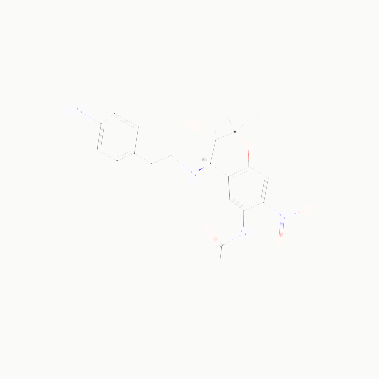 CC(=O)Nc1cc2c(cc1[N+](=O)[O-])OC(C)(C)[C@@H](O)[C@@H]2NCCc1ccc(N)cc1